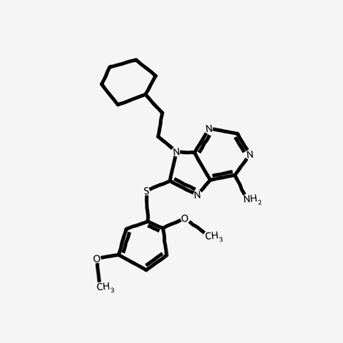 COc1ccc(OC)c(Sc2nc3c(N)ncnc3n2CCC2CCCCC2)c1